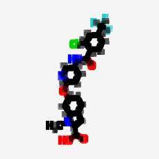 Cn1c(C(=O)O)cc2ccc(Oc3ccc(NC(=O)c4ccc(C(F)(F)F)cc4Cl)cn3)cc21